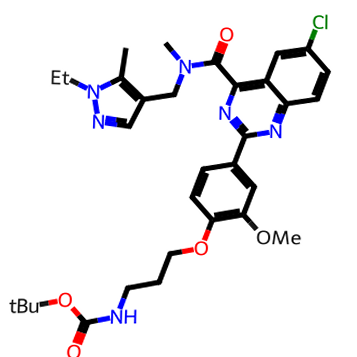 CCn1ncc(CN(C)C(=O)c2nc(-c3ccc(OCCCNC(=O)OC(C)(C)C)c(OC)c3)nc3ccc(Cl)cc23)c1C